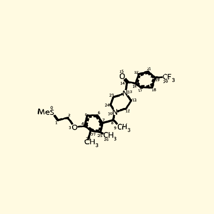 CSCCOc1ccc(C(C)N2CCN(C(=O)c3ccc(C(F)(F)F)cc3)CC2)c(C)c1C